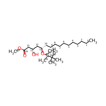 CCCCCCCCCCC[C@@H](C[C@H](O)CC(=O)OC)O[Si](C)(C)C(C)(C)C